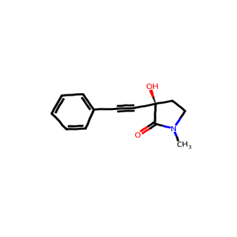 CN1CC[C@@](O)(C#Cc2ccccc2)C1=O